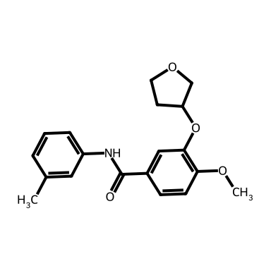 COc1ccc(C(=O)Nc2cccc(C)c2)cc1OC1CCOC1